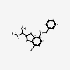 CCOC(O)C1Cc2c(F)ccc(OCc3ccccc3)c2C1